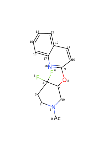 CC(=O)N1CCC(F)(F)C(Oc2ccc3ccccc3n2)C1